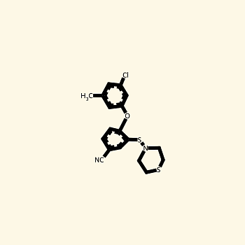 Cc1cc(Cl)cc(Oc2ccc(C#N)cc2SN2CCSCC2)c1